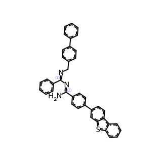 N/C(=N\C(=N/Cc1ccc(-c2ccccc2)cc1)c1ccccc1)c1ccc(-c2ccc3c(c2)sc2ccccc23)cc1